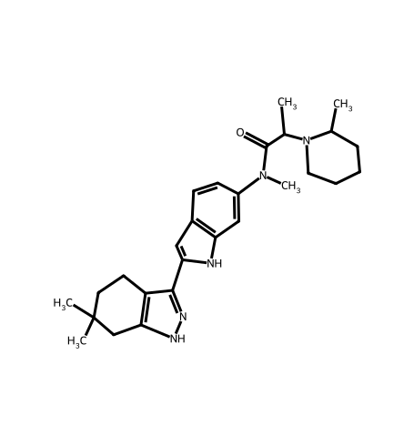 CC1CCCCN1C(C)C(=O)N(C)c1ccc2cc(-c3n[nH]c4c3CCC(C)(C)C4)[nH]c2c1